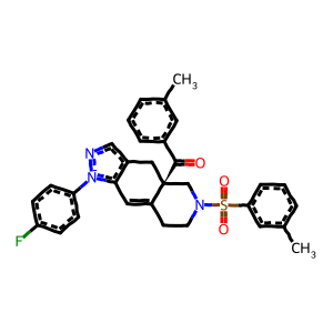 Cc1cccc(C(=O)[C@]23Cc4cnn(-c5ccc(F)cc5)c4C=C2CCN(S(=O)(=O)c2cccc(C)c2)C3)c1